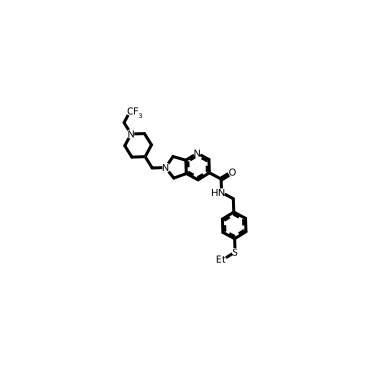 CCSc1ccc(CNC(=O)c2cnc3c(c2)CN(CC2CCN(CC(F)(F)F)CC2)C3)cc1